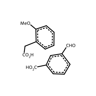 COc1ccccc1CC(=O)O.O=Cc1cccc(C(=O)O)c1